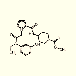 CCN(C(=O)Cn1cccc1C(=O)NC1CCC(C(=O)OC)CC1)c1cccc(C)c1